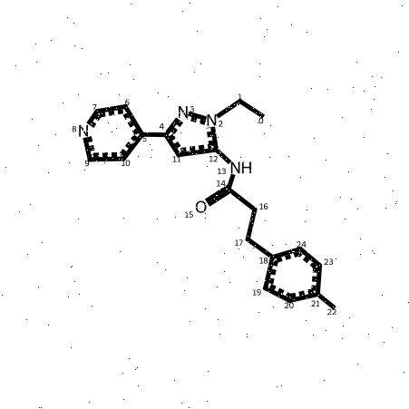 CCn1nc(-c2ccncc2)cc1NC(=O)CCc1ccc(C)cc1